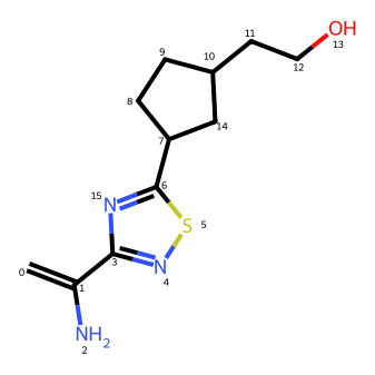 C=C(N)c1nsc(C2CCC(CCO)C2)n1